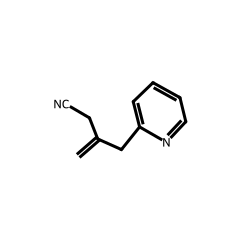 C=C(CC#N)Cc1ccccn1